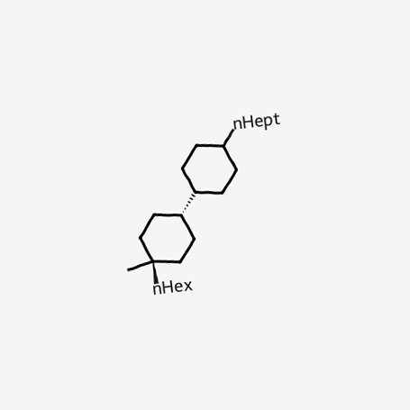 CCCCCCCC1CCC([C@H]2CC[C@](C)(CCCCCC)CC2)CC1